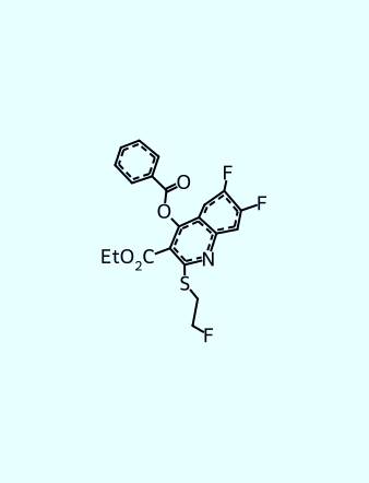 CCOC(=O)c1c(SCCF)nc2cc(F)c(F)cc2c1OC(=O)c1ccccc1